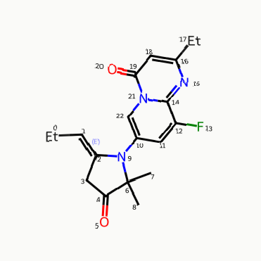 CC/C=C1\CC(=O)C(C)(C)N1c1cc(F)c2nc(CC)cc(=O)n2c1